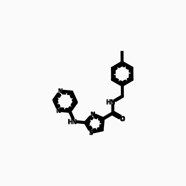 Cc1ccc(CNC(=O)c2csc(Nc3ccncn3)n2)cc1